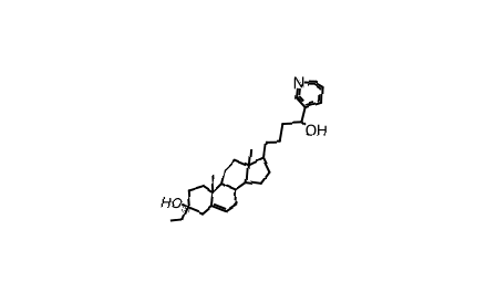 CC[C@]1(O)CCC2(C)C(=CCC3C2CCC2(C)C(CCCC(O)c4cccnc4)CCC32)C1